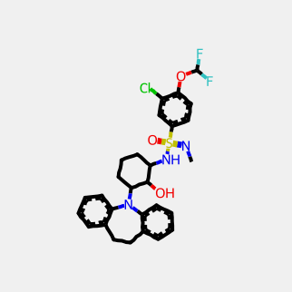 CN=S(=O)(NC1CCCC(N2c3ccccc3CCc3ccccc32)C1O)c1ccc(OC(F)F)c(Cl)c1